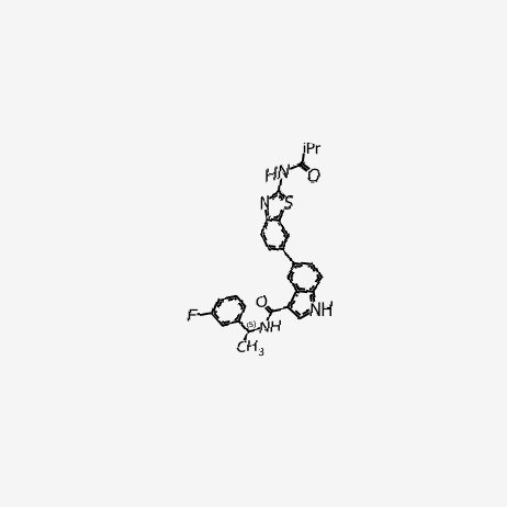 CC(C)C(=O)Nc1nc2ccc(-c3ccc4[nH]cc(C(=O)N[C@@H](C)c5cccc(F)c5)c4c3)cc2s1